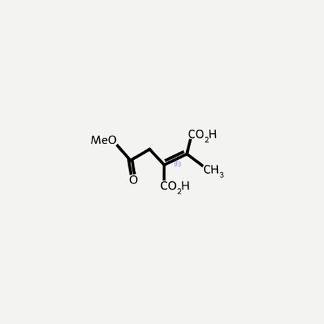 COC(=O)C/C(C(=O)O)=C(/C)C(=O)O